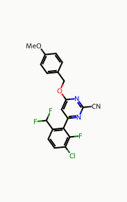 COc1ccc(COc2cc(-c3c(C(F)F)ccc(Cl)c3F)nc(C#N)n2)cc1